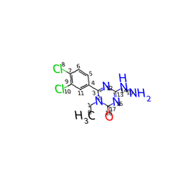 CCn1c(-c2ccc(Cl)c(Cl)c2)nc(NN)nc1=O